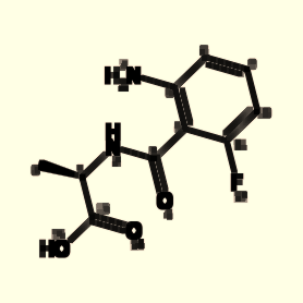 C[C@@H](NC(=O)c1c(N)cccc1F)C(=O)O